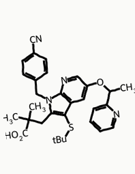 CC(Oc1cnc2c(c1)c(SC(C)(C)C)c(CC(C)(C)C(=O)O)n2Cc1ccc(C#N)cc1)c1ccccn1